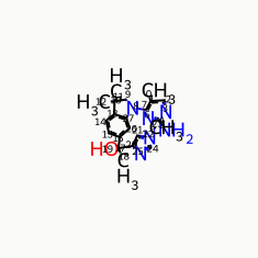 Cc1cnc(N)nc1N1CC(C)(C)c2ccc(C(C)(O)c3cn(C)cn3)cc21